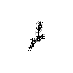 CNc1cc(S(C)(=O)=O)ccc1OCC#Cc1cc2c(NC3CCC(N4CC5(COC5)C4)CC3)cccc2n1CC(F)(F)F